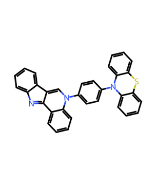 c1ccc2c(c1)Sc1ccccc1N2c1ccc(-n2cc3c4ccccc4nc-3c3ccccc32)cc1